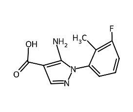 Cc1c(F)cccc1-n1ncc(C(=O)O)c1N